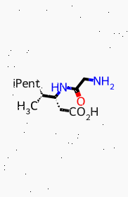 CCC[C@@H](C)[C@@H](C)[C@@H](CC(=O)O)NC(=O)CN